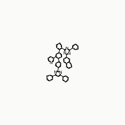 c1ccc(-c2cc(-c3ccccc3)nc(-c3ccc(-c4ccc(-c5ccccc5-c5nc(-c6ccccc6)nc(-c6ccc7ccccc7c6)n5)cc4-c4cccnc4)cc3)n2)cc1